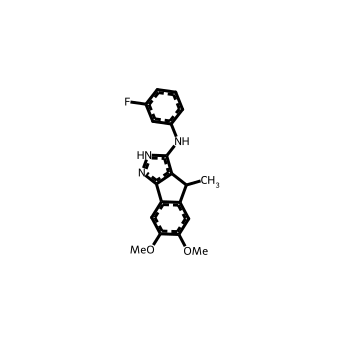 COc1cc2c(cc1OC)C(C)c1c-2n[nH]c1Nc1cccc(F)c1